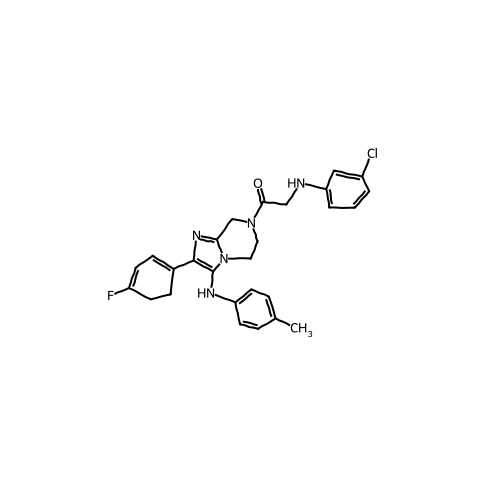 Cc1ccc(Nc2c(C3=CC=C(F)CC3)nc3n2CCN(C(=O)CNc2cccc(Cl)c2)C3)cc1